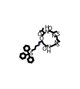 CC(C)C1NC(=O)[C@]2(C)CSC(=N2)c2csc(n2)CNC(=O)CC(/C=C/CCCSC(c2ccccc2)(c2ccccc2)c2ccccc2)OC1=O